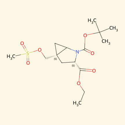 CCOC(=O)[C@@H]1C[C@@]2(COS(C)(=O)=O)CC2N1C(=O)OC(C)(C)C